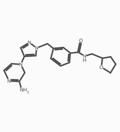 NC1=NC=CN(c2cnn(Cc3cccc(C(=O)NCC4CCCO4)c3)c2)C1